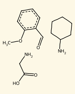 COc1ccccc1C=O.NC1CCCCC1.NCC(=O)O